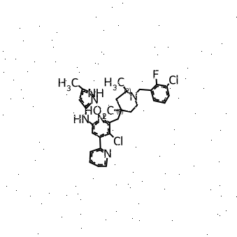 Cc1cc(Nc2cc(-c3ccccn3)c(Cl)c(C[C@@]3(C(=O)O)CCN(Cc4cccc(Cl)c4F)[C@H](C)C3)n2)n[nH]1